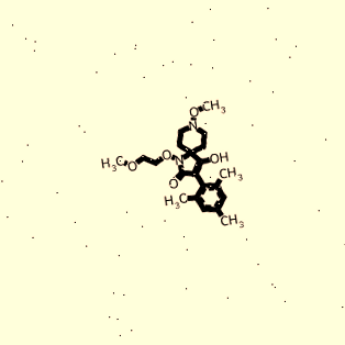 COCCON1C(=O)C(c2c(C)cc(C)cc2C)=C(O)C12CCN(OC)CC2